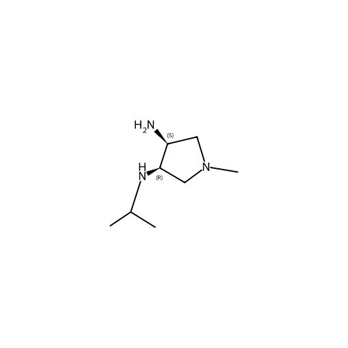 CC(C)N[C@@H]1CN(C)C[C@@H]1N